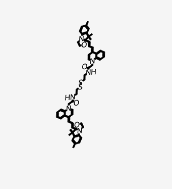 Cc1ccc2c(c1)C(C)(C)C1(/C=C/C=C3\C=CN(CC(=O)NCCSSCCNC(=O)CN4C=C/C(=C\C=C\C56OCCN5c5ccc(C)cc5C6(C)C)c5ccccc54)c4ccccc43)OCCN21